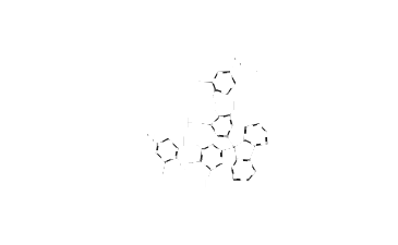 CCc1cc(C2(c3cc(CC)c(Oc4ccc(N)cc4C)c(CC)c3)c3ccccc3-c3ccccc32)cc(CC)c1Oc1ccc(N)cc1C